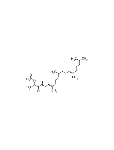 CC(C)=CCCC(C)=CCCC(C)=CCCC(C)=CCNC(=O)C(C)O[PH2]=O